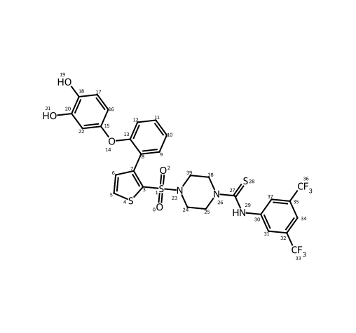 O=S(=O)(c1sccc1-c1ccccc1Oc1ccc(O)c(O)c1)N1CCN(C(=S)Nc2cc(C(F)(F)F)cc(C(F)(F)F)c2)CC1